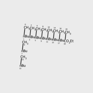 CCCCC.CCCCC.CCCCC.CCCCC.CCCCC.CCCCC.CCCCC.CCCCC.CCCCC.CCOC(C)=O